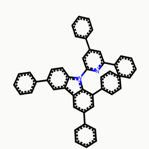 c1ccc(-c2cc(-c3ccccc3)nc(-n3c4ccc(-c5ccccc5)cc4c4cc(-c5ccccc5)cc(-c5ccccc5)c43)c2)cc1